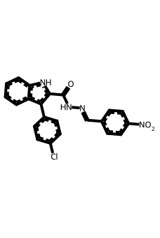 O=C(NN=Cc1ccc([N+](=O)[O-])cc1)c1[nH]c2ccccc2c1-c1ccc(Cl)cc1